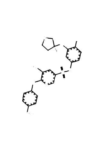 COc1ccc(Oc2ncc(S(=O)(=O)Nc3ccc(Cl)c(O[C@]4(C)CCNC4)c3)cc2Br)cc1